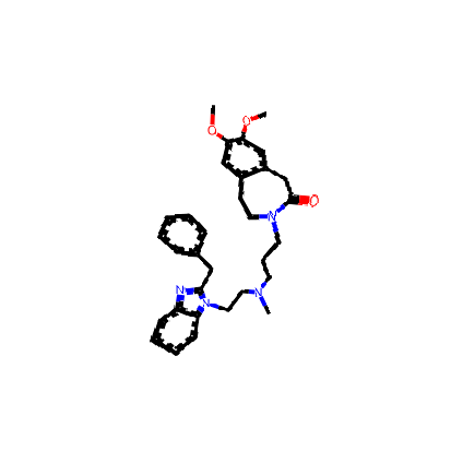 COc1cc2c(cc1OC)CC(=O)N(CCCN(C)CCn1c(Cc3ccccc3)nc3ccccc31)CC2